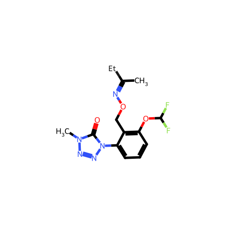 CCC(C)=NOCc1c(OC(F)F)cccc1-n1nnn(C)c1=O